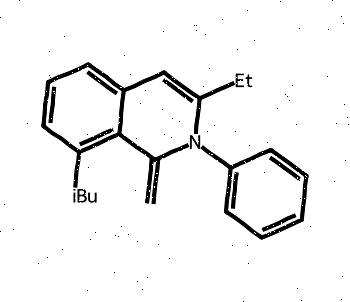 C=C1c2c(cccc2C(C)CC)C=C(CC)N1c1ccccc1